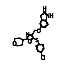 Clc1ccc(Sc2oc(C3CCOCC3)nc2COc2ccc3c(c2)CNN3)cc1